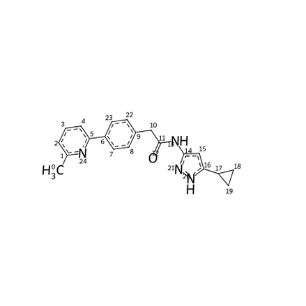 Cc1cccc(-c2ccc(CC(=O)Nc3cc(C4CC4)[nH]n3)cc2)n1